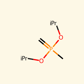 C=P(C)(OC(C)C)OC(C)C